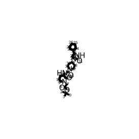 CC(C)(C)OC(=O)Cn1cccc(NC(=O)N2CCC(n3cc(-c4ccccc4)[nH]c3=O)CC2)c1=O